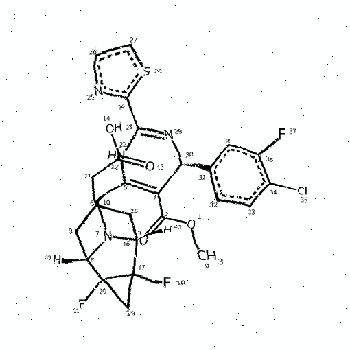 COC(=O)C1=C(CN2[C@H]3CC(CC(=O)O)C[C@@H]2C2(F)CC32F)NC(c2nccs2)=N[C@H]1c1ccc(Cl)c(F)c1